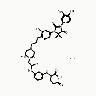 CC(C)c1cc(N2C(=S)N(c3ccc(C#N)c(C(F)(F)F)c3)C(=O)C2(C)C)ccc1OCCN1C[C@@H](C)N(CC(=O)Nc2cccc(NC3CCC(=O)NC3=O)c2)[C@@H](C)C1.Cl